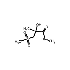 CNC(=O)[C@@](C)(O)CS(C)(=O)=O